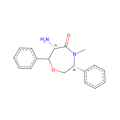 CN1C(=O)[C@@H](N)C(c2ccccc2)OC[C@H]1c1ccccc1